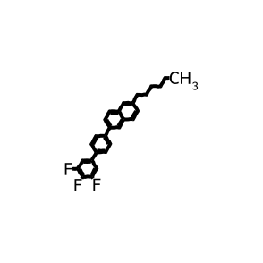 CCCCCCc1ccc2cc(-c3ccc(-c4cc(F)c(F)c(F)c4)cc3)ccc2c1